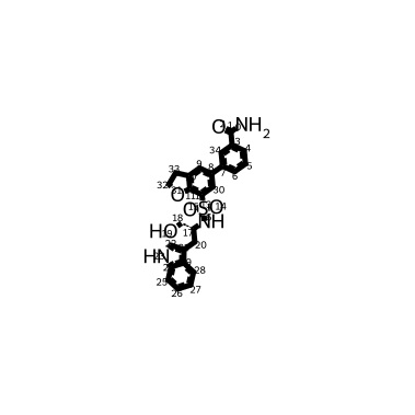 NC(=O)c1cccc(-c2cc3c(c(S(=O)(=O)N[C@@H](CO)Cc4c[nH]c5ccccc45)c2)OCC3)c1